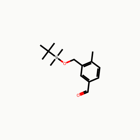 Cc1ccc(C=O)cc1CO[Si](C)(C)C(C)(C)C